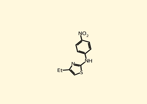 CCc1csc(Nc2ccc([N+](=O)[O-])cc2)n1